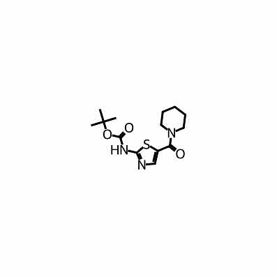 CC(C)(C)OC(=O)Nc1ncc(C(=O)N2CCCCC2)s1